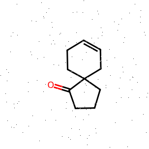 O=C1CCCC12CC=CCC2